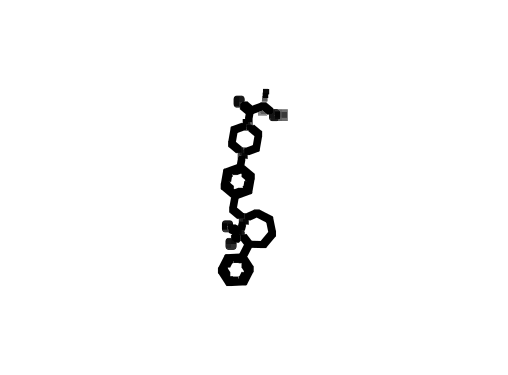 C[C@H](O)C(=O)N1CCN(c2ccc(CN3CCCCC(c4ccccc4)S3(=O)=O)cc2)CC1